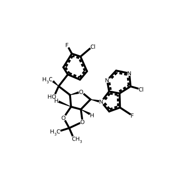 CC1(C)O[C@@H]2[C@H](O1)[C@@H]([C@](C)(O)c1ccc(Cl)c(F)c1)O[C@H]2n1cc(F)c2c(Cl)ncnc21